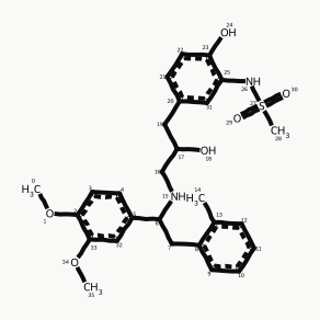 COc1ccc(C(Cc2ccccc2C)NCC(O)Cc2ccc(O)c(NS(C)(=O)=O)c2)cc1OC